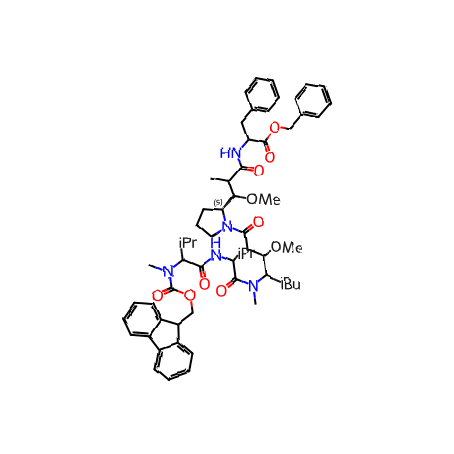 CCC(C)C(C(CC(=O)N1CCC[C@H]1C(OC)C(C)C(=O)NC(Cc1ccccc1)C(=O)OCc1ccccc1)OC)N(C)C(=O)C(NC(=O)C(C(C)C)N(C)C(=O)OCC1c2ccccc2-c2ccccc21)C(C)C